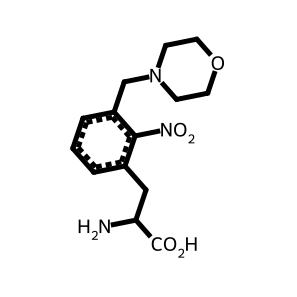 NC(Cc1cccc(CN2CCOCC2)c1[N+](=O)[O-])C(=O)O